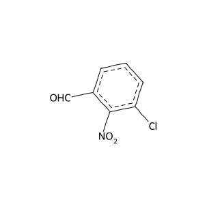 O=Cc1cccc(Cl)c1[N+](=O)[O-]